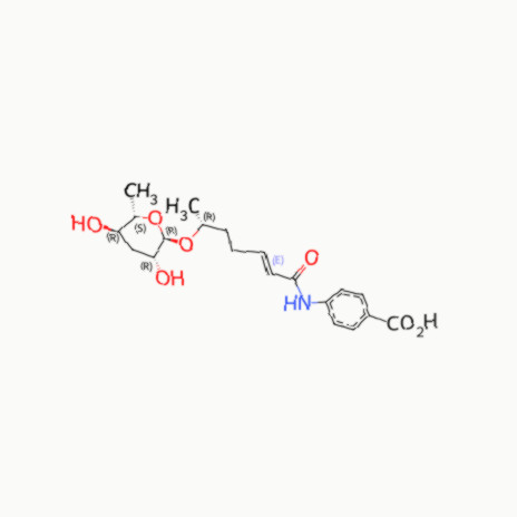 C[C@H](CC/C=C/C(=O)Nc1ccc(C(=O)O)cc1)O[C@@H]1O[C@@H](C)[C@H](O)C[C@H]1O